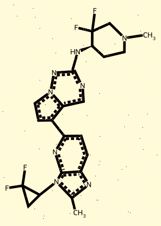 Cc1nc2ccc(-c3ccn4nc(N[C@@H]5CCN(C)CC5(F)F)ncc34)nc2n1C1CC1(F)F